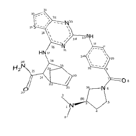 CN(C)[C@@H]1CCN(C(=O)c2ccc(Nc3nc(NC4C5C=CC(C5)C4C(N)=O)c4sccc4n3)cc2)C1